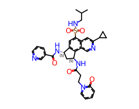 CC(C)CNS(=O)(=O)c1cc2c(c3cnc(C4CC4)cc13)[C@@H](NC(=O)CCn1ccccc1=O)C[C@@H]2NC(=O)c1cccnc1